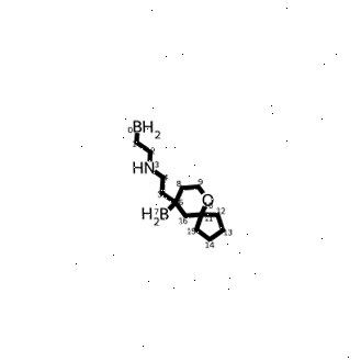 BCCNCCC1(B)CCOC2(CCCC2)C1